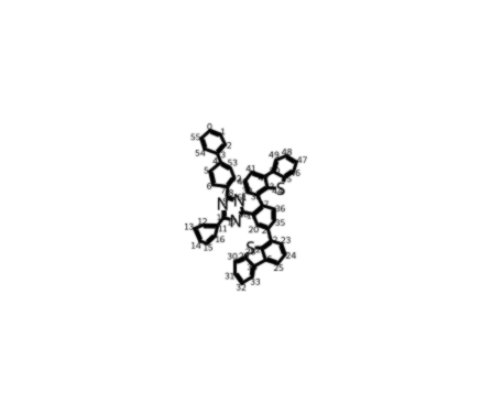 c1ccc(-c2ccc(-c3nc(-c4ccccc4)nc(-c4cc(-c5cccc6c5sc5ccccc56)ccc4-c4cccc5c4sc4ccccc45)n3)cc2)cc1